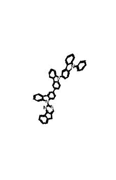 c1ccc(-n2c3ccccc3c3cc(-n4c5ccccc5c5cc(-c6ccc7c(c6)c6ccccc6n7-c6ncc7c(n6)-c6ccccc6C7)ccc54)ccc32)cc1